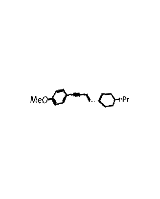 CCC[C@H]1CC[C@H](/C=C/C#Cc2ccc(OC)cc2)CC1